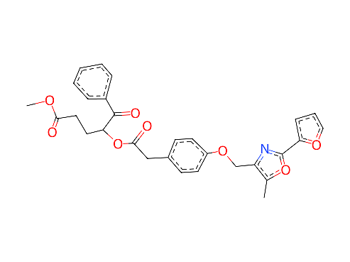 COC(=O)CCC(OC(=O)Cc1ccc(OCc2nc(-c3ccco3)oc2C)cc1)C(=O)c1ccccc1